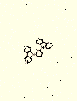 c1cc(-n2c3ccncc3c3cnccc32)nc(-n2c3ccncc3c3cnccc32)c1